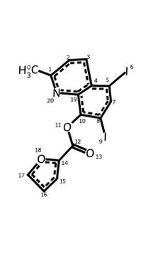 Cc1ccc2c(I)cc(I)c(OC(=O)c3ccco3)c2n1